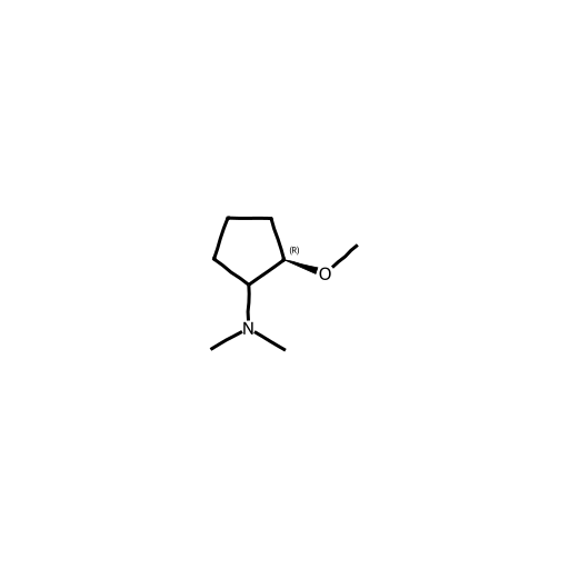 CO[C@@H]1CCCC1N(C)C